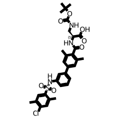 Cc1cc(S(=O)(=O)Nc2cccc(-c3cc(C)c(C(=O)N[C@@H](CNC(=O)OC(C)(C)C)C(=O)O)c(C)c3)c2)c(C)cc1Cl